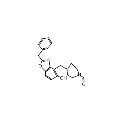 O=CN1CCN(Cc2c(O)ccc3oc(Cc4ccccc4)cc23)CC1